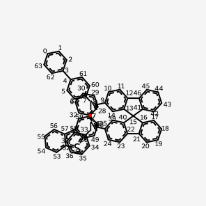 c1ccc(-c2ccc(N(c3ccc4c(c3)C3(c5ccccc5-c5ccc(N(c6ccccc6)c6ccccc6)cc53)c3ccccc3-4)c3ccc4sc5ccccc5c4c3)cc2)cc1